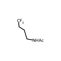 CC(=O)NCCCC(F)(F)F